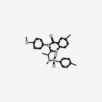 COc1ccc(-n2c(C(C)N(C)S(=O)(=O)c3ccc(C)cc3)nc3ccc(C)cc3c2=O)cc1